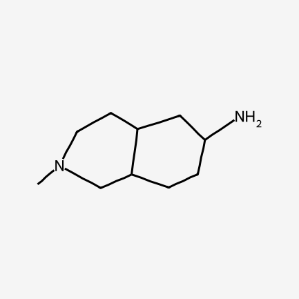 CN1CCC2CC(N)CCC2C1